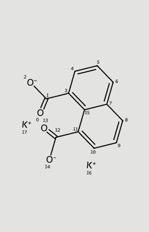 O=C([O-])c1cccc2cccc(C(=O)[O-])c12.[K+].[K+]